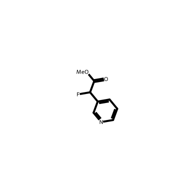 COC(=O)C(F)c1cccnc1